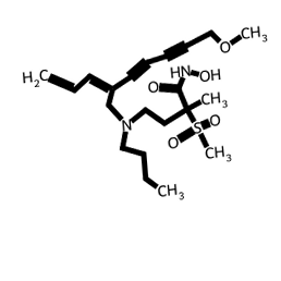 C=C/C=C(/C#CC#CCOC)CN(CCCC)CCC(C)(C(=O)NO)S(C)(=O)=O